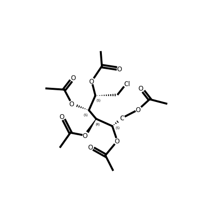 CC(=O)OC[C@H](OC(C)=O)[C@@H](OC(C)=O)[C@H](OC(C)=O)[C@@H](CCl)OC(C)=O